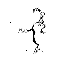 CC(C)O[SiH](OC(C)C)OC(C)CCCN